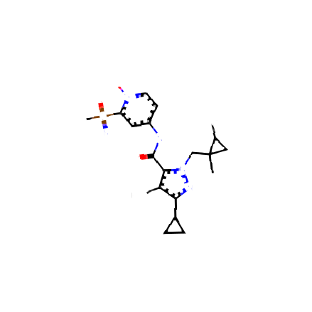 CC1(Cn2nc(C3CC3)c(C(F)(F)F)c2C(=O)Nc2cc[n+]([O-])c(S(C)(=N)=O)c2)CC1C(F)(F)F